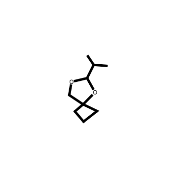 CC(C)C1OCC2(CCC2)O1